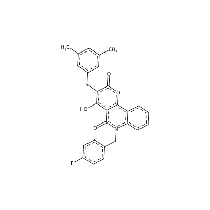 Cc1cc(C)cc(Sc2c(O)c3c(=O)n(Cc4ccc(F)cc4)c4ccccc4c3oc2=O)c1